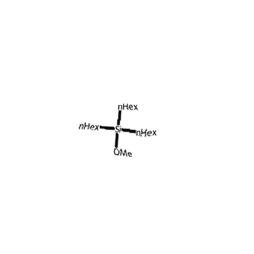 CCCCCC[Si](CCCCCC)(CCCCCC)OC